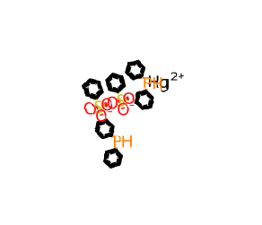 O=S(=O)([O-])c1ccccc1.O=S(=O)([O-])c1ccccc1.[Hg+2].c1ccc(Pc2ccccc2)cc1.c1ccc(Pc2ccccc2)cc1